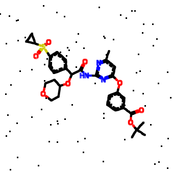 Cc1cc(Oc2cccc(C(=O)OC(C)(C)C)c2)nc(NC(=O)C(OC2CCOCC2)c2ccc(S(=O)(=O)C3CC3)cc2)n1